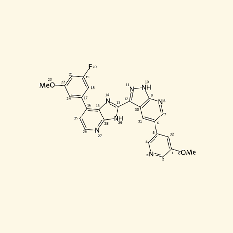 COc1cncc(-c2cnc3[nH]nc(-c4nc5c(-c6cc(F)cc(OC)c6)ccnc5[nH]4)c3c2)c1